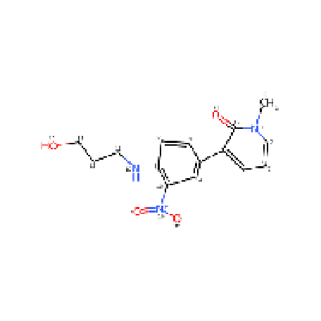 Cn1cccc(-c2ccc(NCCCO)c([N+](=O)[O-])c2)c1=O